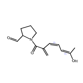 C=C(/C=C\C=C(/C)O)C(=O)N1CCCC1C=O